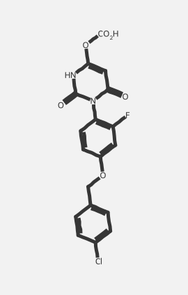 O=C(O)Oc1cc(=O)n(-c2ccc(OCc3ccc(Cl)cc3)cc2F)c(=O)[nH]1